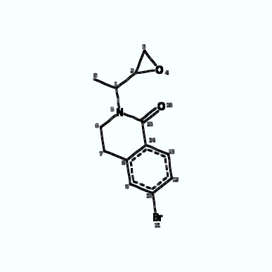 CC(C1CO1)N1CCc2cc(Br)ccc2C1=O